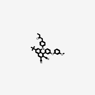 CCC(=O)Cc1ccc(N(C)c2cc(C(C)(C)C)cc3cc(C#N)c(C#N)c(-c4cccc(Oc5cccc(OC)c5)c4)c23)cc1